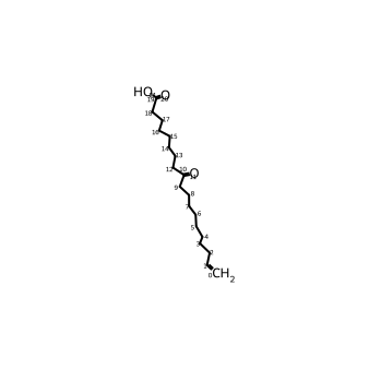 C=CCCCCCCCCC(=O)CCCCCCCC(=O)O